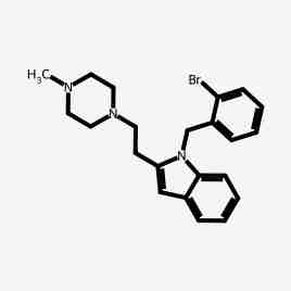 CN1CCN(CCc2cc3ccccc3n2Cc2ccccc2Br)CC1